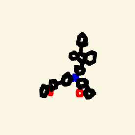 c1ccc(-c2c3c(c(-c4ccc(N(c5ccc(-c6ccc7c(c6)oc6ccccc67)cc5)c5ccc6c(c5)oc5ccccc56)cc4)c4c2CCCC4)CCCC3)cc1